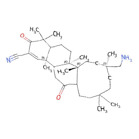 CC1(C)CCC2C(=O)CC3[C@@]4(C)C=C(C#N)C(=O)C(C)(C)C4CC[C@@]3(C)[C@]2(C)CC[C@@](C)(CN)CC1